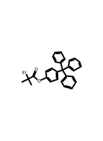 CCC(C)(C)C(=O)Oc1ccc(C(c2ccccc2)(c2ccccc2)c2ccccc2)cc1